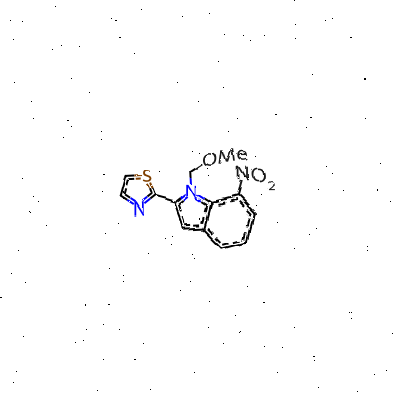 COCn1c(-c2nccs2)cc2cccc([N+](=O)[O-])c21